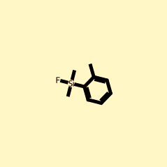 Cc1ccccc1[Si](C)(C)F